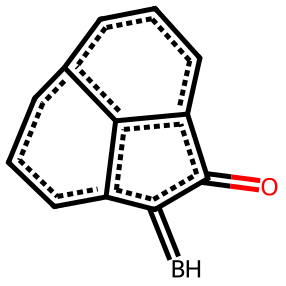 B=c1c(=O)c2cccc3cccc1c32